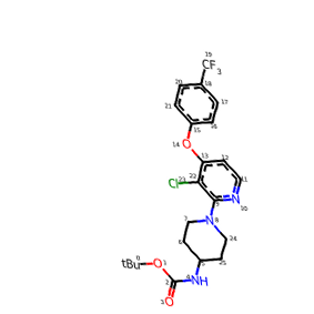 CC(C)(C)OC(=O)NC1CCN(c2nccc(Oc3ccc(C(F)(F)F)cc3)c2Cl)CC1